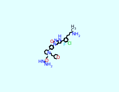 C[C@H](N)CCCc1cc(Cl)c(F)c(-c2cc3cn(-c4ccc([C@@H]5CCC[C@@H](CCOC(=N)N)N5CCC5CCOCC5)cc4)c(=O)nc3[nH]2)c1